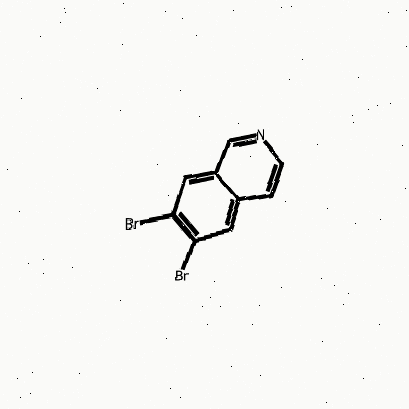 Brc1cc2ccncc2cc1Br